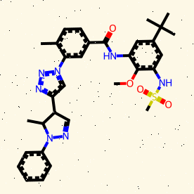 COc1c(NC(=O)c2ccc(C)c(-n3cc(C4C=NN(c5ccccc5)C4C)nn3)c2)cc(C(C)(C)C)cc1NS(C)(=O)=O